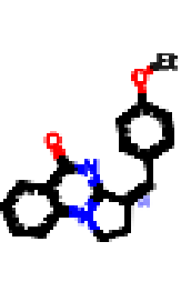 CCOc1ccc(/C=C2/CCn3c2nc(=O)c2ccccc23)cc1